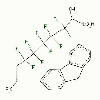 CC(C(=O)O)C(F)(F)C(F)(F)C(F)(F)C(F)(F)C(F)(F)CCC(F)(F)F.c1ccc2c(c1)Cc1ccccc1-2